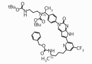 C[C@@H](CCCc1cc(C(F)(F)F)cc(-c2cc3cn(-c4ccc([C@H](C)N(CCCNC(=O)OC(C)(C)C)C(=O)OC(C)(C)C)cc4)c(=O)nc3[nH]2)n1)NC(=O)OCc1ccccc1